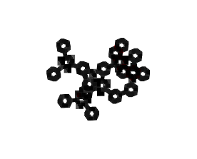 c1ccc(-c2nc(-c3ccccc3)nc(-c3ccc(-n4c5ccc(-c6nc(-c7ccccc7)nc(-c7ccccc7)n6)cc5c5cc(-c6nc(-c7ccccc7)nc(-c7ccccc7)n6)ccc54)c(-c4nc(-c5ccccc5)nc(-c5cccc(-c6cccc(N7c8ccccc8B8c9ccccc9N(c9ccccc9)c9cccc7c98)c6)c5)n4)c3)n2)cc1